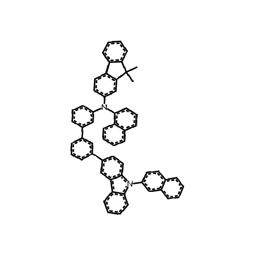 CC1(C)c2ccccc2-c2ccc(N(c3cccc(-c4cccc(-c5ccc6c(c5)c5ccccc5n6-c5ccc6ccccc6c5)c4)c3)c3cccc4ccccc34)cc21